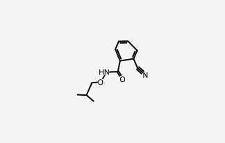 CC(C)CONC(=O)c1ccccc1C#N